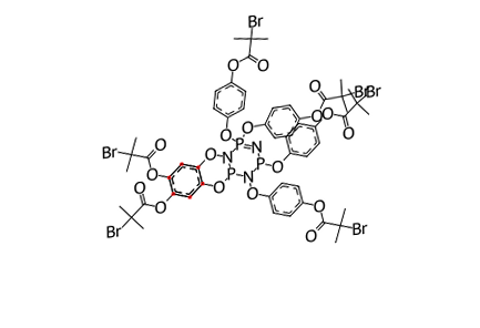 CC(C)(Br)C(=O)Oc1ccc(ON2P(Oc3ccc(OC(=O)C(C)(C)Br)cc3)N=P(Oc3ccc(OC(=O)C(C)(C)Br)cc3)(Oc3ccc(OC(=O)C(C)(C)Br)cc3)N(Oc3ccc(OC(=O)C(C)(C)Br)cc3)P2Oc2ccc(OC(=O)C(C)(C)Br)cc2)cc1